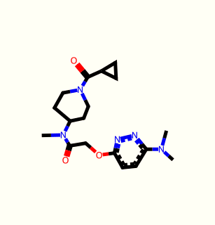 CN(C)c1ccc(OCC(=O)N(C)C2CCN(C(=O)C3CC3)CC2)nn1